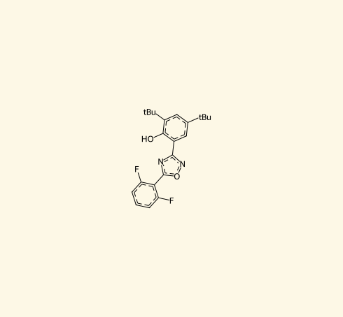 CC(C)(C)c1cc(-c2noc(-c3c(F)cccc3F)n2)c(O)c(C(C)(C)C)c1